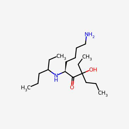 CCCC(CC)N[C@@H](CCCCN)C(=O)C(O)(CC)CCC